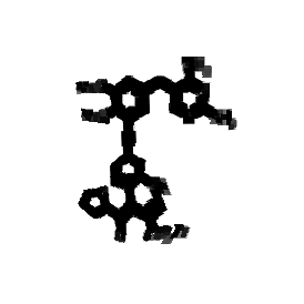 CCOC(=O)C1=CNc2cc(C#Cc3cc(Cc4cnc(N)nc4N)cc(OC)c3OC)ccc2C1C(=O)C1CCCO1